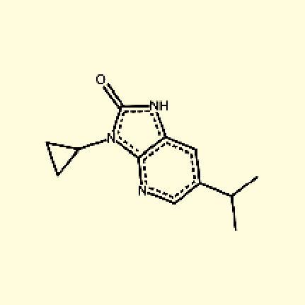 CC(C)c1cnc2c(c1)[nH]c(=O)n2C1CC1